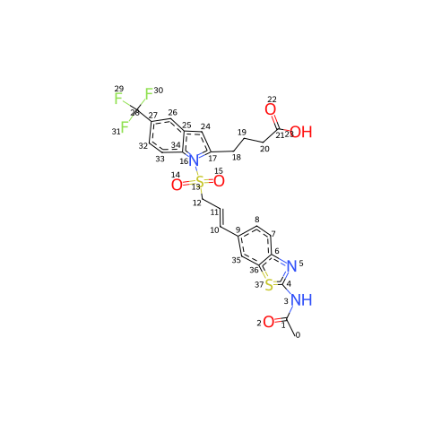 CC(=O)Nc1nc2ccc(C=CCS(=O)(=O)n3c(CCCC(=O)O)cc4cc(C(F)(F)F)ccc43)cc2s1